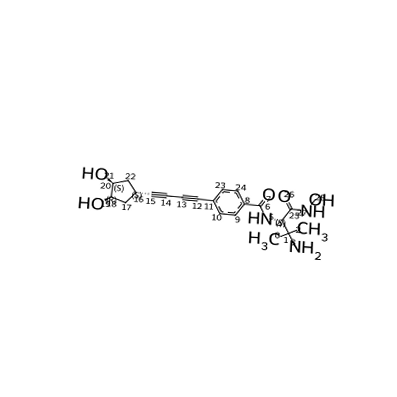 CC(C)(N)[C@H](NC(=O)c1ccc(C#CC#C[C@@H]2C[C@@H](O)[C@@H](O)C2)cc1)C(=O)NO